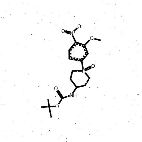 COc1cc(P2(=O)CCC(NC(=O)OC(C)(C)C)CC2)ccc1[N+](=O)[O-]